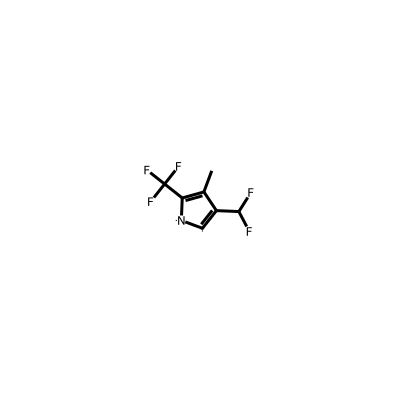 CC1=C(C(F)(F)F)[N][C]=C1C(F)F